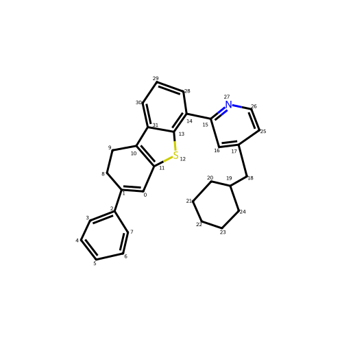 C1=C(c2ccccc2)CCc2c1sc1c(-c3cc(CC4CCCCC4)ccn3)cccc21